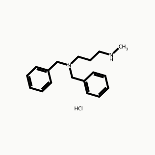 CNCCCN(Cc1ccccc1)Cc1ccccc1.Cl